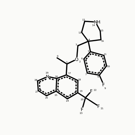 CC(OCC1(c2ccc(F)cc2)CCNCC1)c1cc(C(F)(F)F)cc2cccnc12